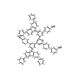 N#Cc1ccc(-c2cc(-c3nc(-c4ccc(-c5cccc(C#N)c5)cc4)nc(-c4cc(-c5ccc(C#N)cc5)cc(-n5c6ccc(-c7ccccc7)cc6c6cc(-c7ccccc7)ccc65)c4)n3)cc(-n3c4ccc(-c5ccccc5)cc4c4cc(-c5ccccc5)ccc43)c2)cc1